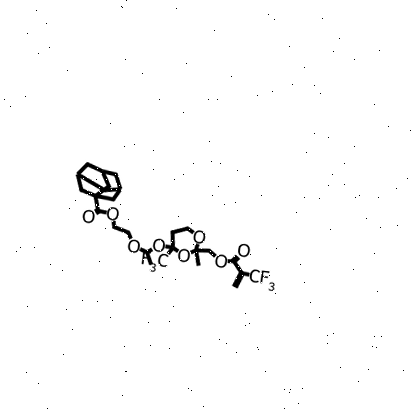 C=C(C(=O)OCC1(C)OCCC(OC(C)OCCOC(=O)C23CC4CC(CC(C4)C2)C3)(C(F)(F)F)O1)C(F)(F)F